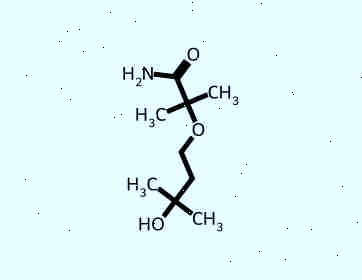 CC(C)(O)CCOC(C)(C)C(N)=O